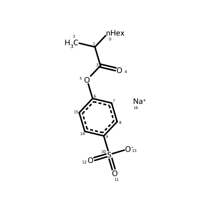 CCCCCCC(C)C(=O)Oc1ccc(S(=O)(=O)[O-])cc1.[Na+]